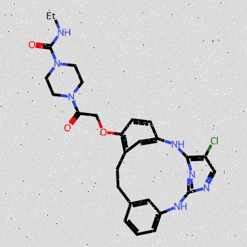 CCNC(=O)N1CCN(C(=O)COc2ccc3cc2CCc2cccc(c2)Nc2ncc(Cl)c(n2)N3)CC1